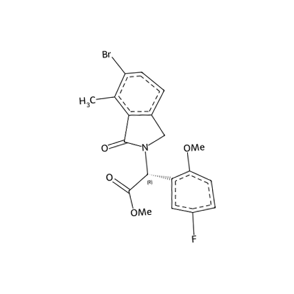 COC(=O)[C@@H](c1cc(F)ccc1OC)N1Cc2ccc(Br)c(C)c2C1=O